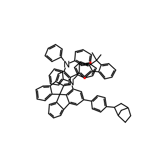 CC1(C)c2ccccc2-c2cc(N(c3ccccc3)c3cc(-c4ccc(C5CC6CCC5C6)cc4)cc4c3C3(c5ccccc5-c5cc(N(c6ccccc6)c6ccccc6)c(-c6ccccc6)cc53)c3ccccc3-4)ccc21